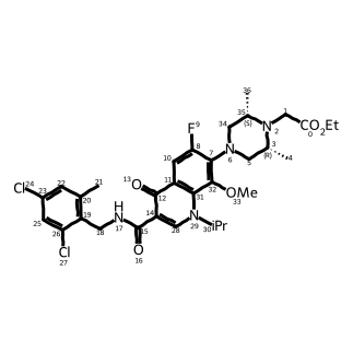 CCOC(=O)CN1[C@H](C)CN(c2c(F)cc3c(=O)c(C(=O)NCc4c(C)cc(Cl)cc4Cl)cn(C(C)C)c3c2OC)C[C@@H]1C